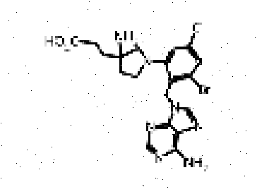 Nc1ncnc2c1ncn2Cc1c(Br)cc(Cl)cc1N1CCC(N)(CCC(=O)O)C1